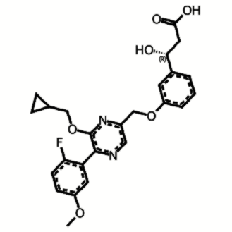 COc1ccc(F)c(-c2ncc(COc3cccc([C@H](O)CC(=O)O)c3)nc2OCC2CC2)c1